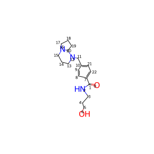 O=C(NCCCO)c1ccc(CN2CCCN3CCCC32)cc1